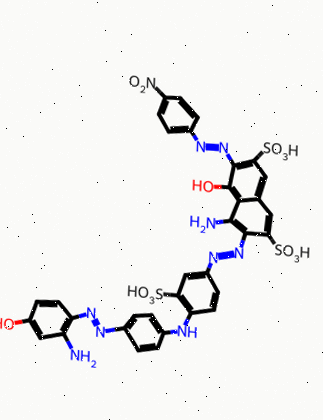 Nc1cc(O)ccc1N=Nc1ccc(Nc2ccc(N=Nc3c(S(=O)(=O)O)cc4cc(S(=O)(=O)O)c(N=Nc5ccc([N+](=O)[O-])cc5)c(O)c4c3N)cc2S(=O)(=O)O)cc1